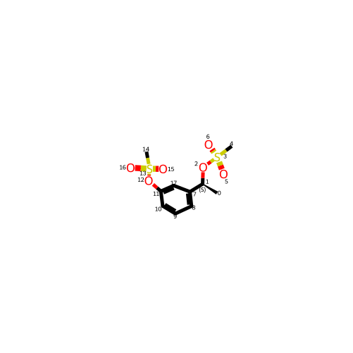 C[C@H](OS(C)(=O)=O)c1cccc(OS(C)(=O)=O)c1